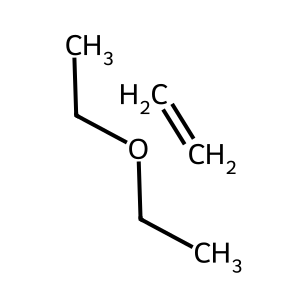 C=C.CCOCC